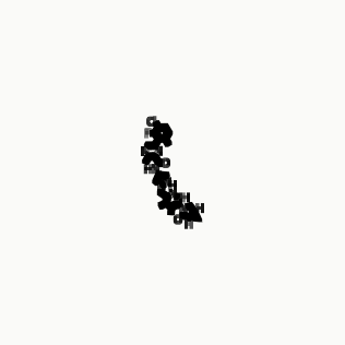 CC1=C(Cn2cc(NC(=O)c3nc(-c4c(C)ccc(Cl)c4F)cnc3C)cn2)NNC(N2C[C@H]3C[C@H]3C2=O)=C1C